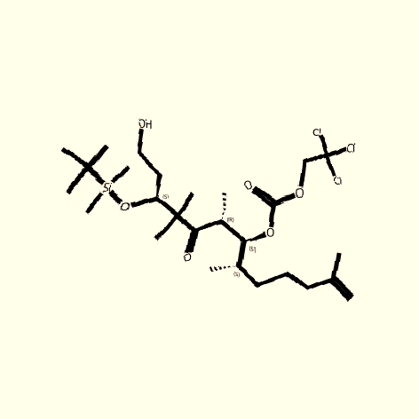 C=C(C)CCC[C@H](C)[C@H](OC(=O)OCC(Cl)(Cl)Cl)[C@@H](C)C(=O)C(C)(C)[C@H](CCO)O[Si](C)(C)C(C)(C)C